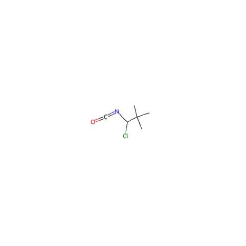 CC(C)(C)C(Cl)N=C=O